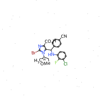 COC[C@@H](C)n1c(Br)nc(C(=O)O)c1C(Nc1cccc(Cl)c1F)c1ccc(C#N)cc1